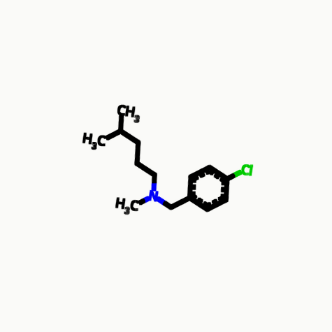 CC(C)CCCN(C)Cc1ccc(Cl)cc1